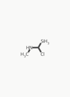 CNC([SiH3])Cl